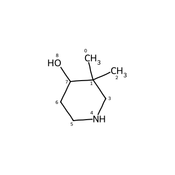 CC1(C)CNCCC1O